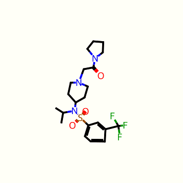 CC(C)N(C1CCN(CC(=O)N2CCCC2)CC1)S(=O)(=O)c1cccc(C(F)(F)F)c1